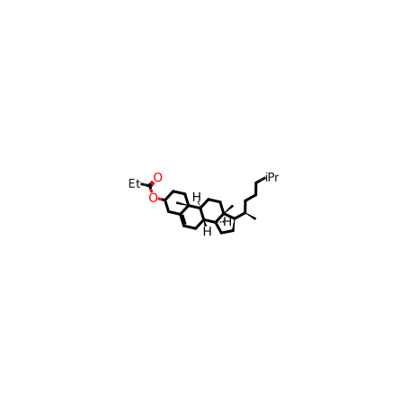 CCC(=O)OC1CC[C@@]2(C)C(=CC[C@H]3[C@@H]4CC[C@H]([C@H](C)CCCC(C)C)[C@@]4(C)CC[C@@H]32)C1